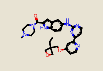 CCC1(COc2ccnc(-c3ccnc(Nc4ccc5[nH]c(C(=O)N6CCN(C)CC6)cc5c4)n3)c2)COC1